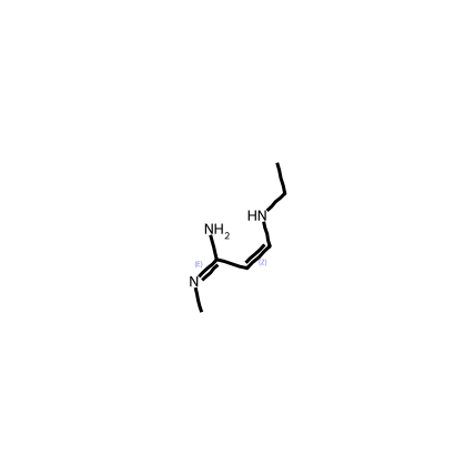 CCN/C=C\C(N)=N/C